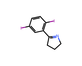 Ic1ccc(I)c(C2=NCCC2)c1